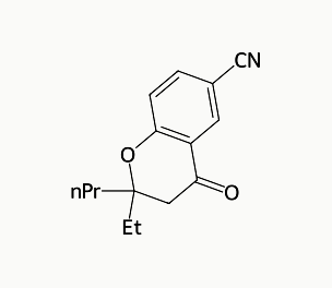 CCCC1(CC)CC(=O)c2cc(C#N)ccc2O1